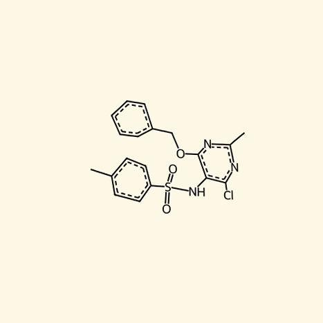 Cc1ccc(S(=O)(=O)Nc2c(Cl)nc(C)nc2OCc2ccccc2)cc1